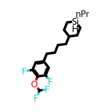 CCC[SiH]1CCC(CCCCc2cc(F)c(OC(F)F)c(F)c2)CC1